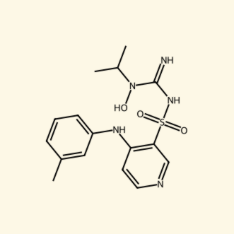 Cc1cccc(Nc2ccncc2S(=O)(=O)NC(=N)N(O)C(C)C)c1